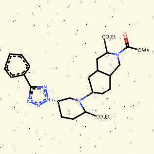 CCOC(=O)C1CC2CC(N3C[C@@H](n4nnc(-c5ccccc5)n4)CCC3C(=O)OCC)CCC2CN1C(=O)OC